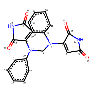 O=C1C=C(N(CN(C2=CC(=O)NC2=O)c2ccccc2)c2ccccc2)C(=O)N1